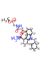 COC(=O)CNC(=O)COc1cccc2c1c1c(C(N)=O)cccc1n2Cc1ccccc1